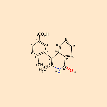 Cc1ccc(C(=O)O)cc1-c1c(C)[nH]c(=O)c2ccccc12